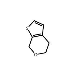 [CH]1COCc2sccc21